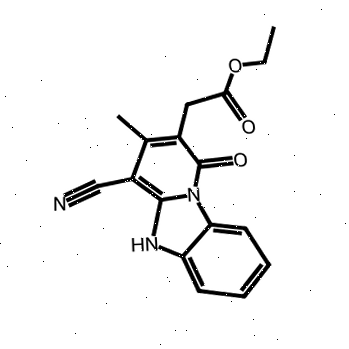 CCOC(=O)Cc1c(C)c(C#N)c2[nH]c3ccccc3n2c1=O